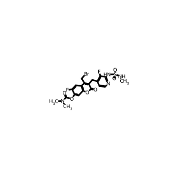 CNS(=O)(=O)Nc1nccc(Cc2c(CBr)c3cc(F)c(OC(=O)N(C)C)cc3oc2=O)c1F